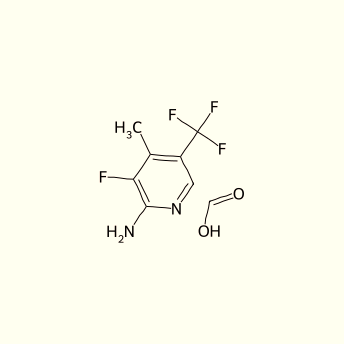 Cc1c(C(F)(F)F)cnc(N)c1F.O=CO